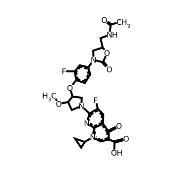 COC1CN(c2nc3c(cc2F)c(=O)c(C(=O)O)cn3C2CC2)CC1Oc1ccc(N2CC(CNC(C)=O)OC2=O)cc1F